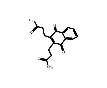 CC(=O)CCC1=C(CCC(C)=O)C(=O)c2ccccc2C1=O